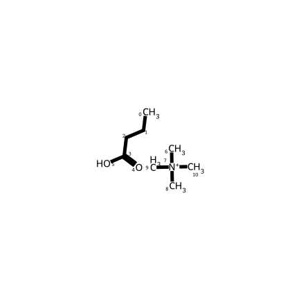 CCCC(=O)O.C[N+](C)(C)C